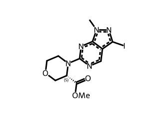 COC(=O)[C@@H]1COCCN1c1ncc2c(I)nn(C)c2n1